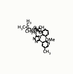 COc1cccc(OC)c1-n1c(-c2cncc(C)c2)nnc1N(CC[Si](C)(C)C)S(C)(=O)=O